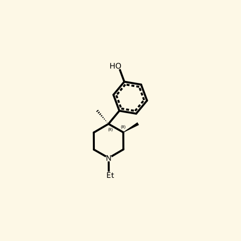 CCN1CC[C@@](C)(c2cccc(O)c2)[C@@H](C)C1